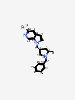 C[C@@H]1C[C@H](Cn2ccc3cc(Br)ncc32)CN1Cc1ccccc1